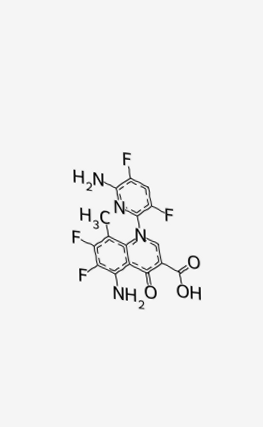 Cc1c(F)c(F)c(N)c2c(=O)c(C(=O)O)cn(-c3nc(N)c(F)cc3F)c12